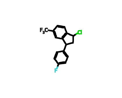 Fc1ccc(C2CC(Cl)c3ccc(C(F)(F)F)cc32)cc1